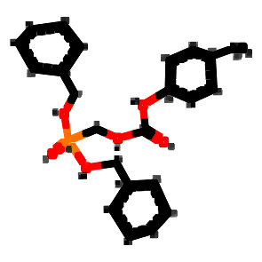 O=C(OCP(=O)(OCc1ccccc1)OCc1ccccc1)Oc1ccc([N+](=O)[O-])cc1